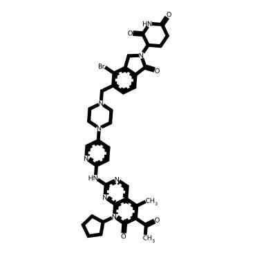 CC(=O)c1c(C)c2cnc(Nc3ccc(N4CCN(Cc5ccc6c(c5Br)CN(C5CCC(=O)NC5=O)C6=O)CC4)cn3)nc2n(C2CCCC2)c1=O